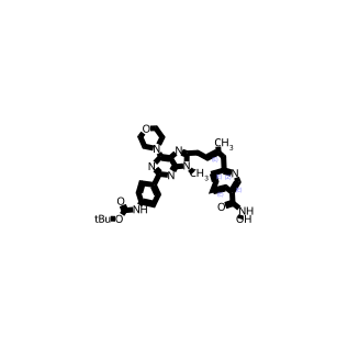 C/C(=C\Cc1nc2c(N3CCOCC3)nc(-c3ccc(NC(=O)OC(C)(C)C)cc3)nc2n1C)CC1=N/C=C(C(=O)NO)\C=C\C=C\1